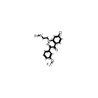 CCSCCn1nc(-c2cccc(OC(F)(F)F)c2)c(=O)c2ccc(Cl)cc21